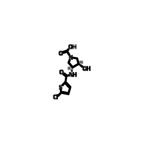 O=C(N[C@@H]1CN(C(=O)O)C[C@H]1O)c1ccc(Cl)s1